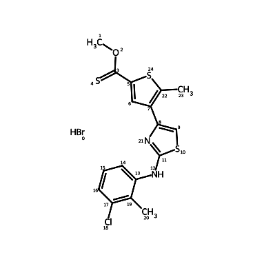 Br.COC(=S)c1cc(-c2csc(Nc3cccc(Cl)c3C)n2)c(C)s1